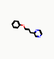 C(=COc1ccccc1)Cc1cnccn1